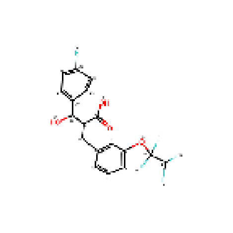 O=C(O)C(Cc1cccc(OC(F)(F)C(F)F)c1)C(O)c1ccc(F)cc1